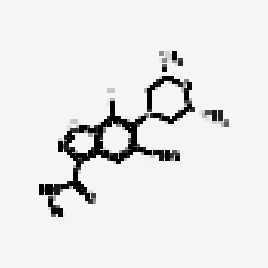 C[C@@H]1CN(c2c(C=O)cc3c(C(=O)NC(C)(C)C)noc3c2F)C[C@H](C)O1